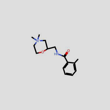 Cc1ccccc1C(=O)NCC1C[N+](C)(C)CCO1